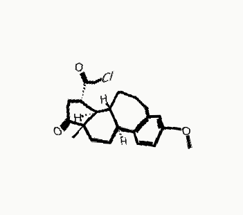 COc1ccc2c(c1)CC[C@H]1[C@@H]3[C@@H](C(=O)Cl)CC(=O)[C@@]3(C)CC[C@H]21